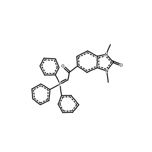 Cn1c(=O)n(C)c2cc(C(=O)C=P(c3ccccc3)(c3ccccc3)c3ccccc3)ccc21